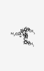 CCOC(=O)c1ncn2c1Cn1c(Cc3cccc(OC)c3)nnc1-c1cc(OC)ccc1-2